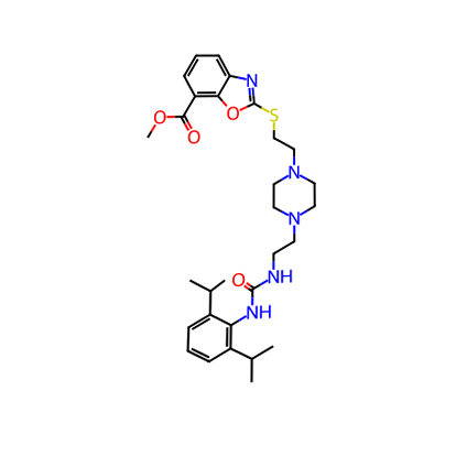 COC(=O)c1cccc2nc(SCCN3CCN(CCNC(=O)Nc4c(C(C)C)cccc4C(C)C)CC3)oc12